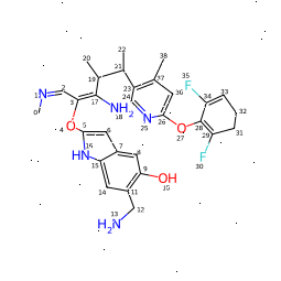 C/N=C\C(Oc1cc2cc(O)c(CN)cc2[nH]1)=C(\N)C(C)C(C)c1cnc(OC2=C(F)CCC=C2F)cc1C